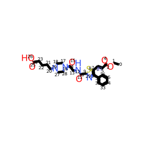 CCOC(=O)/C=C/c1sc(C(=O)NCC(=O)N2CCN(CCCCC(=O)O)CC2)nc1-c1ccccc1